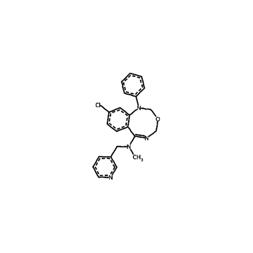 CN(Cc1cccnc1)/C1=N/COCN(c2ccccc2)c2cc(Cl)ccc21